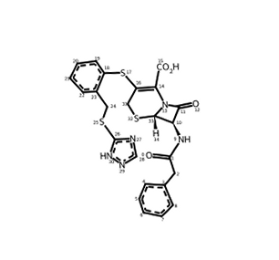 O=C(Cc1ccccc1)N[C@@H]1C(=O)N2C(C(=O)O)=C(Sc3ccccc3CSc3ncn[nH]3)CS[C@@H]12